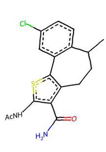 CC(=O)Nc1sc2c(c1C(N)=O)CCC(C)c1ccc(Cl)cc1-2